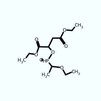 CCOC(=O)CC(O[PH](=O)C(C)OCC)C(=O)OCC